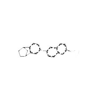 O=C(O)c1ccc2cc(-c3ccc4c(c3)C3CCC4C3)ccc2c1